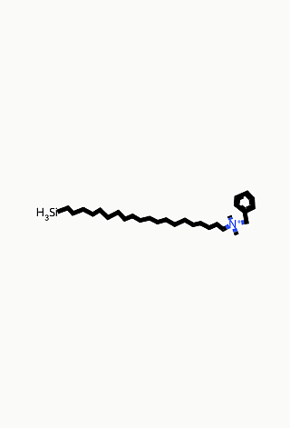 C[N+](C)(CCCCCCCCCCCCCCCCCCCC[SiH3])Cc1ccccc1